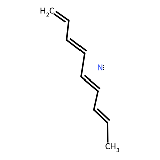 C=CC=CC=CC=CC.[N]